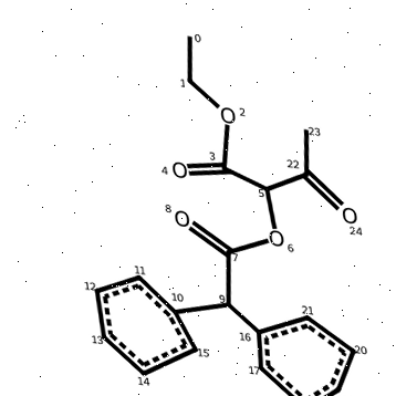 CCOC(=O)C(OC(=O)C(c1ccccc1)c1ccccc1)C(C)=O